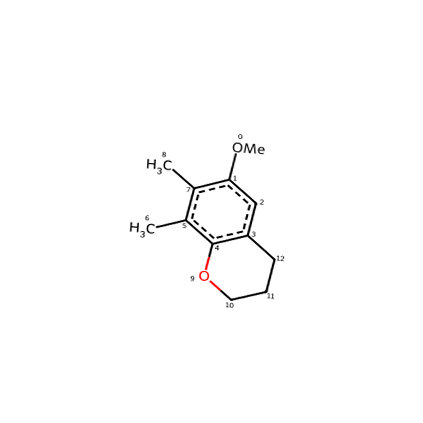 COc1cc2c(c(C)c1C)OCCC2